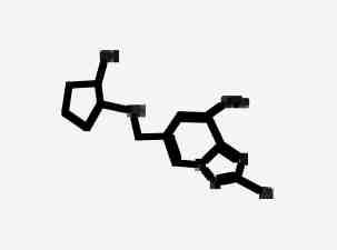 CCc1nc2c(OC)cc(CNC3CCCC3O)cn2n1